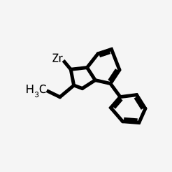 CCC1CC2C(c3ccccc3)=CC=CC2[CH]1[Zr]